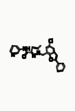 Cc1cc(C(=O)Nc2cccnc2)nn1Cc1cc(Cl)cc2cc(-c3ccccc3)oc12